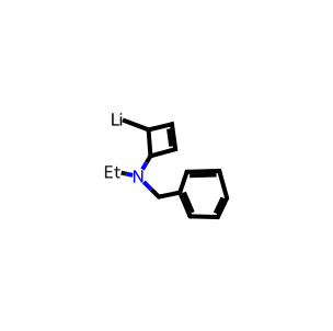 [Li][CH]1C=CC1N(CC)Cc1ccccc1